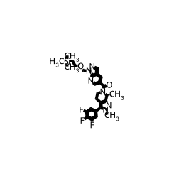 C[C@H]1c2nn(C)c(-c3cc(F)c(F)c(F)c3)c2CCN1C(=O)c1cnc2c(cnn2COCC[Si](C)(C)C)c1